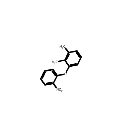 Cc1cccc(Oc2c[c]ccc2[N+](=O)[O-])c1C